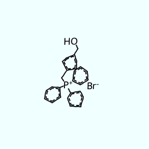 OCc1ccc(C[P+](c2ccccc2)(c2ccccc2)c2ccccc2)cc1.[Br-]